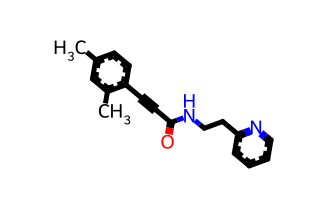 Cc1ccc(C#CC(=O)NCCc2ccccn2)c(C)c1